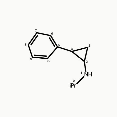 CC(C)NC1CC1c1ccccc1